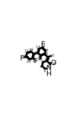 C/C(=C1/CCCNC1=O)c1cc(F)cc(-c2ccc(F)cc2F)c1C